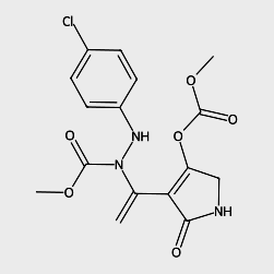 C=C(C1=C(OC(=O)OC)CNC1=O)N(Nc1ccc(Cl)cc1)C(=O)OC